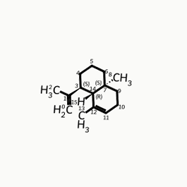 C=C(C)[C@H]1CCC[C@@]2(C)CCC=C(C)[C@H]12